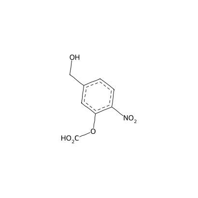 O=C(O)Oc1cc(CO)ccc1[N+](=O)[O-]